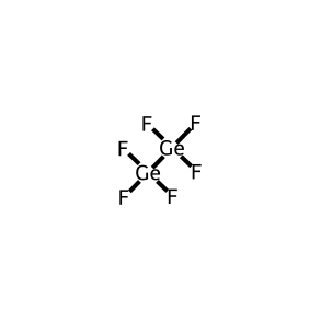 [F][Ge]([F])([F])[Ge]([F])([F])[F]